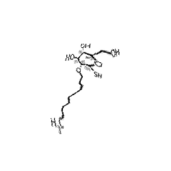 CCCCCCCCO[C@@H]1[C@@H](O)[C@H](O)[C@@H](CO)O[C@H]1S